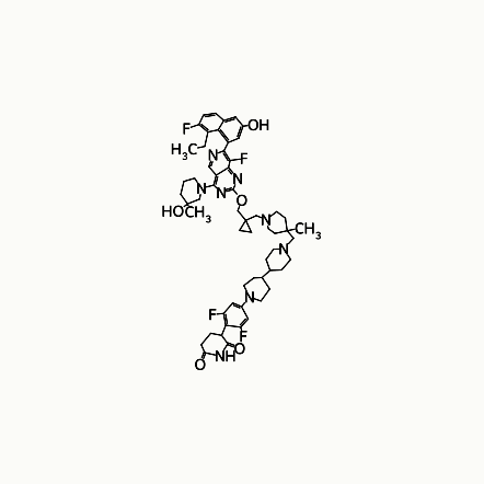 CCc1c(F)ccc2cc(O)cc(-c3ncc4c(N5CCC[C@@](C)(O)C5)nc(OCC5(CN6CCC(C)(CN7CCC(C8CCN(c9cc(F)c(C%10CCC(=O)NC%10=O)c(F)c9)CC8)CC7)CC6)CC5)nc4c3F)c12